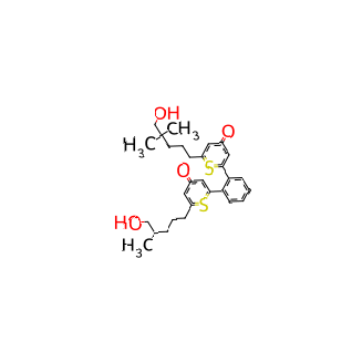 CC(CO)CCCc1cc(=O)cc(-c2ccccc2-c2cc(=O)cc(CCCC(C)(C)CO)s2)s1